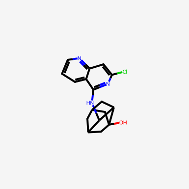 OC12CC3CC(C1)C(Nc1nc(Cl)cc4ncccc14)C2C3